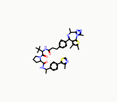 Cc1ncsc1-c1ccc(C(C)NC(=O)C2CCCN2C(=O)C(NC(=O)CCc2ccc(C3=NC(C)c4nnc(C)n4-c4sc(C)c(C)c43)cc2)C(C)(C)C)cc1